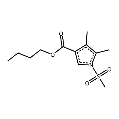 CCCCOC(=O)c1cn(S(C)(=O)=O)c(C)c1C